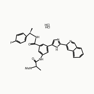 CNC(C)C(=O)Nc1cc(C(=O)N[C@H](C)c2ccc(F)cc2)cc(-c2cnc(-c3cc4ccccc4cn3)[nH]2)c1.Cl.Cl